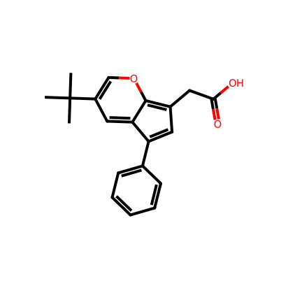 CC(C)(C)c1coc2c(CC(=O)O)cc(-c3ccccc3)c-2c1